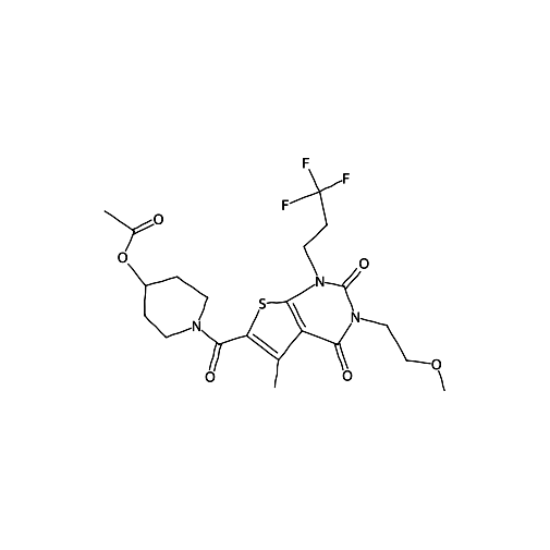 COCCn1c(=O)c2c(C)c(C(=O)N3CCC(OC(C)=O)CC3)sc2n(CCC(F)(F)F)c1=O